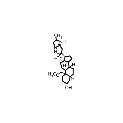 COC[C@]12CC[C@@H](O)C[C@@H]1CC[C@@H]1C2CC[C@]2(C)[C@@H](C(=O)CN3NCC(C)N3)CC[C@@H]12